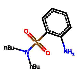 CCCCN(CCCC)S(=O)(=O)c1ccccc1N